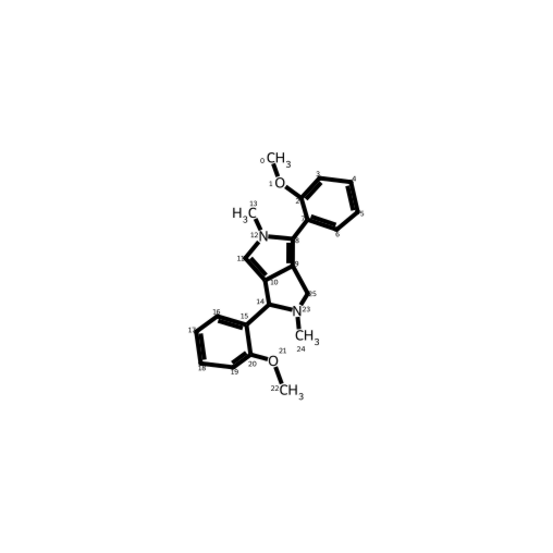 COc1ccccc1-c1c2c(cn1C)C(c1ccccc1OC)N(C)C2